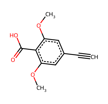 C#Cc1cc(OC)c(C(=O)O)c(OC)c1